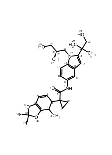 CC1C2=C(C=CC1C1(C(=O)Nc3ccc4c(c3)cc(C(C)(C)CO)n4C[C@@H](O)CO)CC1)OC(F)(F)O2